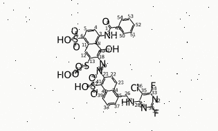 O=C(Nc1ccc(S(=O)(=O)O)c2cc(SOOO)c(N=Nc3ccc4c(CNc5nc(F)nc(F)c5Cl)cccc4c3S(=O)(=O)O)c(O)c12)c1ccccc1